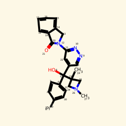 CC(C)c1ccc(C(O)(c2cnnc(N3Cc4ccccc4C3=O)c2)C2(C)CN(C)C2)cc1